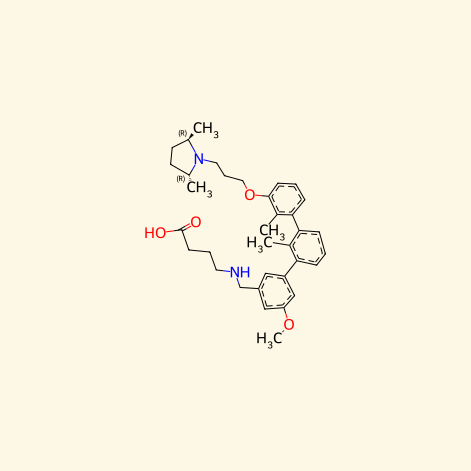 COc1cc(CNCCCC(=O)O)cc(-c2cccc(-c3cccc(OCCCN4[C@H](C)CC[C@H]4C)c3C)c2C)c1